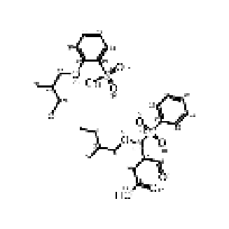 CCC(C)CON(C(C=O)CC(=O)O)S(=O)(=O)c1ccccc1.CCC(C)COc1ccccc1S(=O)(=O)Cl